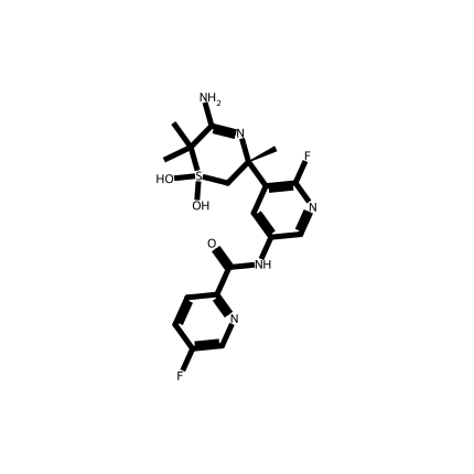 CC1(C)C(N)=N[C@](C)(c2cc(NC(=O)c3ccc(F)cn3)cnc2F)CS1(O)O